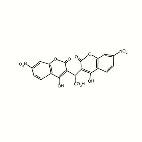 O=C(O)C(c1c(O)c2ccc([N+](=O)[O-])cc2oc1=O)c1c(O)c2ccc([N+](=O)[O-])cc2oc1=O